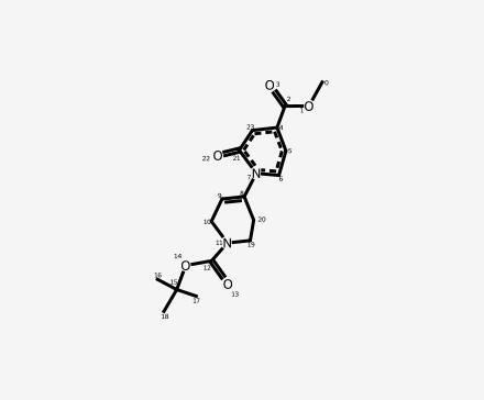 COC(=O)c1ccn(C2=CCN(C(=O)OC(C)(C)C)CC2)c(=O)c1